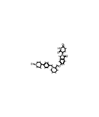 CCN1CCC(c2ccc(CN3CCCCC3COc3ccc4c(c3)CN(C3CCC(=O)NC3=O)C4=O)cc2)CC1